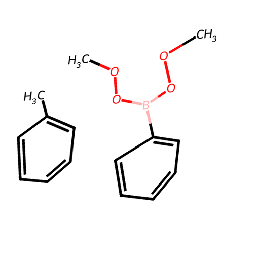 COOB(OOC)c1ccccc1.Cc1ccccc1